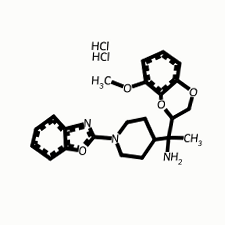 COc1cccc2c1OC(C(C)(N)C1CCN(c3nc4ccccc4o3)CC1)CO2.Cl.Cl